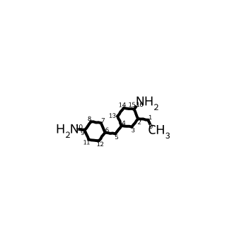 CCC1CC(CC2CCC(N)CC2)CCC1N